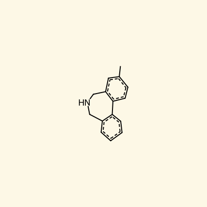 Cc1ccc2c(c1)CNCc1ccccc1-2